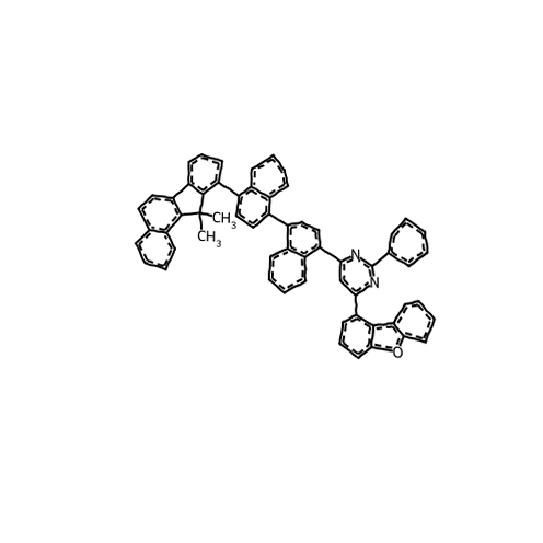 CC1(C)c2c(cccc2-c2ccc(-c3ccc(-c4cc(-c5cccc6oc7ccccc7c56)nc(-c5ccccc5)n4)c4ccccc34)c3ccccc23)-c2ccc3ccccc3c21